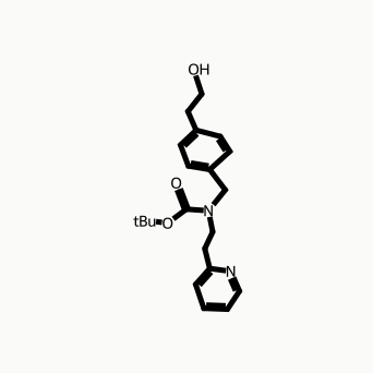 CC(C)(C)OC(=O)N(CCc1ccccn1)Cc1ccc(CCO)cc1